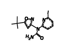 CC(C)(C)c1cc(N(C(N)=O)c2cccc(I)n2)no1